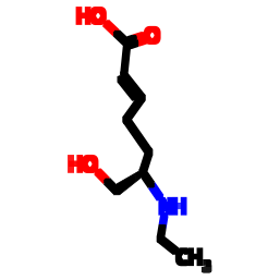 CCN[C@@H](CO)CCC=CC(=O)O